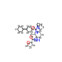 Cn1cc2n(c1=O)C(Cc1cccc(-c3ccccc3)c1)C(NC(=O)[C@@H]1CCCO1)CC2